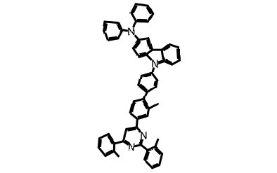 Cc1cc(-c2cc(-c3ccccc3C)nc(-c3ccccc3C)n2)ccc1-c1ccc(-n2c3ccccc3c3cc(N(c4ccccc4)c4ccccc4)ccc32)cc1